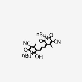 CCCCN1C(=O)C(C#N)=C(C)/C(=C/C=C/c2c(C)c(C#N)c(=O)n(CCCC)c2O)C1=O